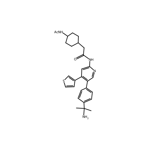 CC(=O)NC1CCC(CC(=O)Nc2cc(-c3ccsc3)c(-c3ccc(C(C)(C)N)cc3)cn2)CC1